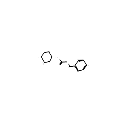 O=C(N[C@H]1CC[C@@H](O)[C@H](F)C1)OCc1ccccc1